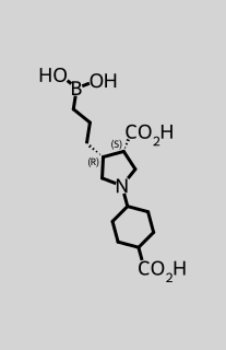 O=C(O)C1CCC(N2C[C@H](CCCB(O)O)[C@H](C(=O)O)C2)CC1